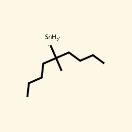 [CH2]C(C)(CCCC)CCCC.[SnH2]